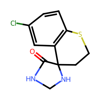 O=C1NCNC12CCSc1ccc(Cl)cc12